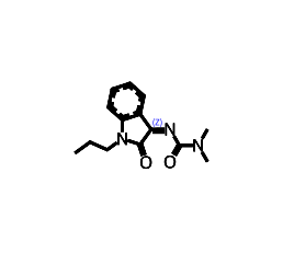 CCCN1C(=O)/C(=N\C(=O)N(C)C)c2ccccc21